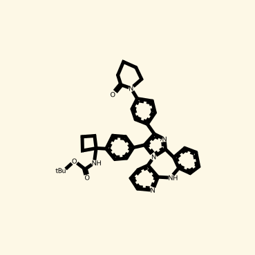 CC(C)(C)OC(=O)NC1(c2ccc(-c3c(-c4ccc(N5CCCCC5=O)cc4)nc4n3-c3cccnc3Nc3ccccc3-4)cc2)CCC1